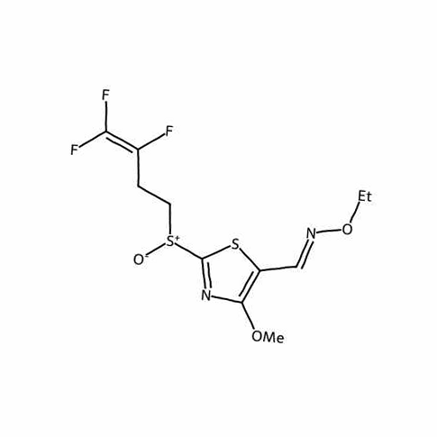 CCO/N=C/c1sc([S+]([O-])CCC(F)=C(F)F)nc1OC